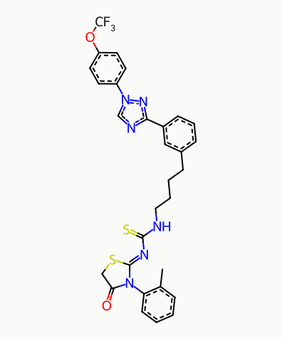 Cc1ccccc1N1C(=O)CS/C1=N\C(=S)NCCCCc1cccc(-c2ncn(-c3ccc(OC(F)(F)F)cc3)n2)c1